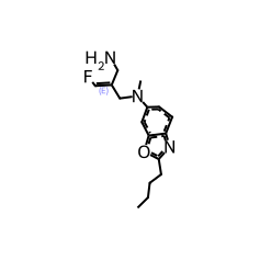 CCCCc1nc2ccc(N(C)C/C(=C/F)CN)cc2o1